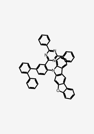 c1ccc(-c2nc(-c3ccccc3)nc(-c3cc(-c4ccccc4-c4ccccc4)ccc3-n3c4ccccc4c4cc5c(cc43)oc3ccccc35)n2)cc1